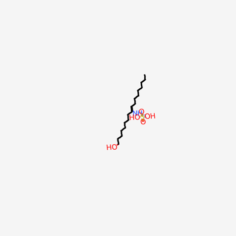 CCCCCCCCC=CCCCCCCCCO.N.O=S(=O)(O)O